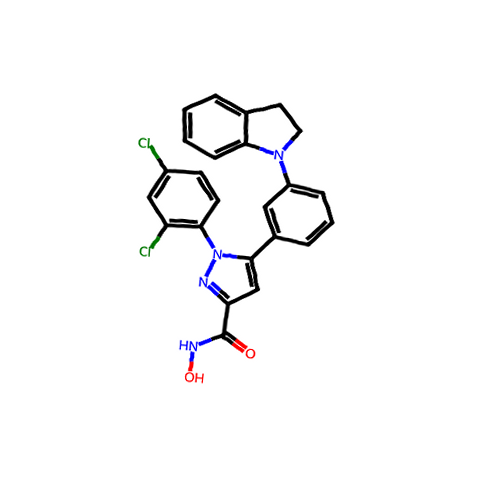 O=C(NO)c1cc(-c2cccc(N3CCc4ccccc43)c2)n(-c2ccc(Cl)cc2Cl)n1